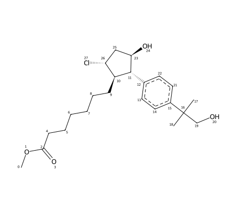 COC(=O)CCCCCC[C@@H]1[C@@H](c2ccc(C(C)(C)CO)cc2)[C@H](O)C[C@H]1Cl